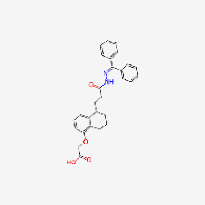 O=C(O)COc1cccc2c1CCCC2CCC(=O)NN=C(c1ccccc1)c1ccccc1